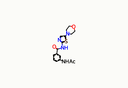 CC(=O)Nc1cccc(C(=O)Nc2ncc(N3CCOCC3)s2)c1